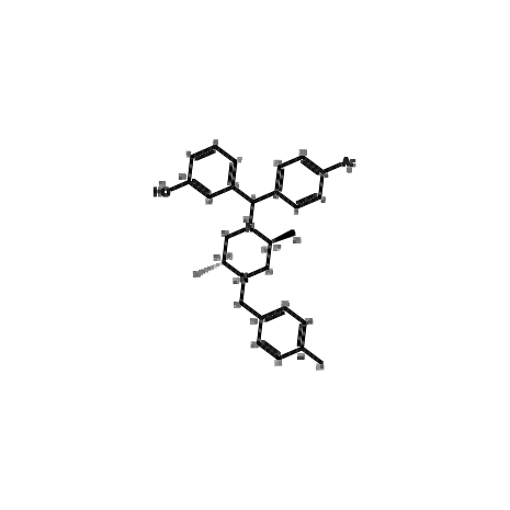 CC(=O)c1ccc(C(c2cccc(O)c2)N2C[C@@H](C)N(Cc3ccc(C)cc3)C[C@@H]2C)cc1